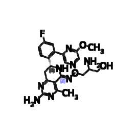 COc1cncc(-c2cc(F)ccc2[C@H]2Cc3nc(N)nc(C)c3/C(=N/OCC(N)CO)N2)n1